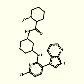 CN1CCCCC1C(=O)NC1CCCC(Nc2nc(Cl)ccc2-c2c[nH]c3ncccc23)C1